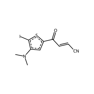 CN(C)c1cc(C(=O)C=CC#N)sc1I